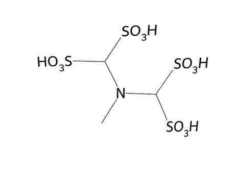 CN(C(S(=O)(=O)O)S(=O)(=O)O)C(S(=O)(=O)O)S(=O)(=O)O